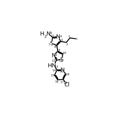 CCCc1nc(N)sc1-c1csc(Nc2ccc(Cl)cn2)n1